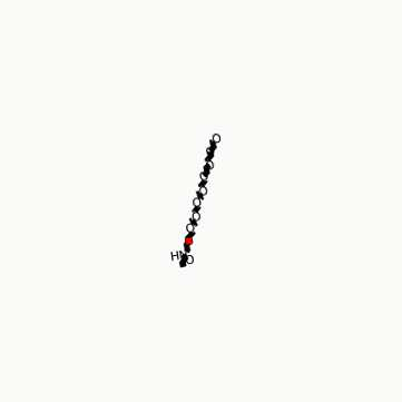 C=CC(=O)NCCOCCOCCOCCOCCOCCOCCOCCOCCOC